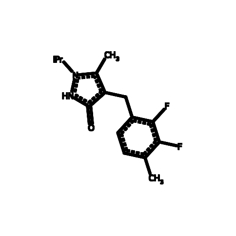 Cc1ccc(Cc2c(C)n(C(C)C)[nH]c2=O)c(F)c1F